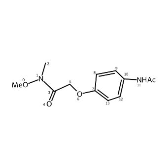 CON(C)C(=O)COc1ccc(NC(C)=O)cc1